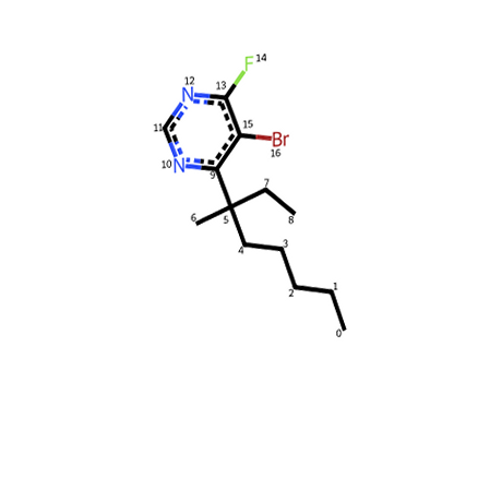 CCCCCC(C)(CC)c1ncnc(F)c1Br